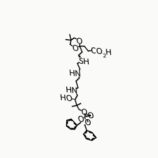 CC1(C)COC(CC=[SH]CCNCCCNC[C@H](O)C(C)(C)COP(=O)(OCc2ccccc2)OCc2ccccc2)(CCC(=O)O)OC1